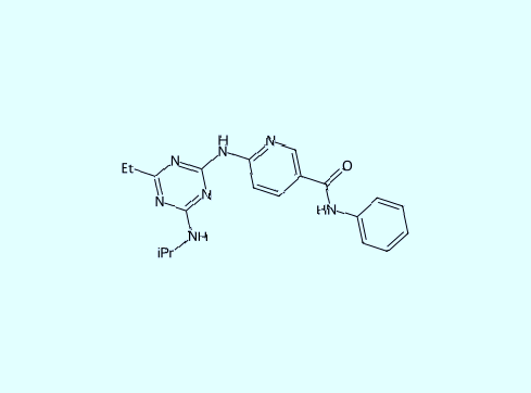 CCc1nc(Nc2ccc(C(=O)Nc3ccccc3)cn2)nc(NC(C)C)n1